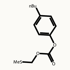 CCCCc1ccc(OC(=O)OCSC)cc1